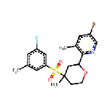 Cc1cc(Br)cnc1C1CC(C)(S(=O)(=O)c2cc(F)cc(C(F)(F)F)c2)CCO1